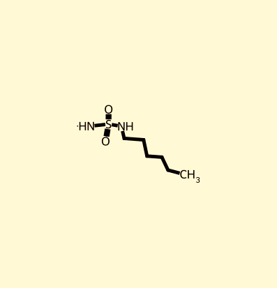 CCCCCCNS([NH])(=O)=O